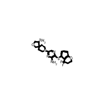 Nc1nc(N2CCC3(CC2)COCC3N)cnc1Sc1cccc2c1C(F)(F)CCO2